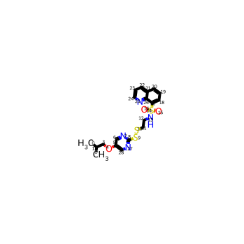 CC(C)COc1cnc(SSCCNS(=O)(=O)c2cccc3cccnc23)nc1